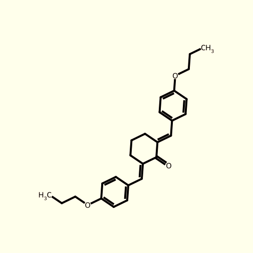 CCCOc1ccc(C=C2CCCC(=Cc3ccc(OCCC)cc3)C2=O)cc1